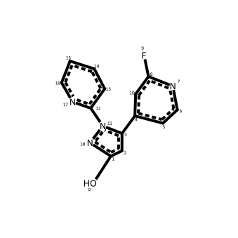 Oc1cc(-c2ccnc(F)c2)n(-c2ccccn2)n1